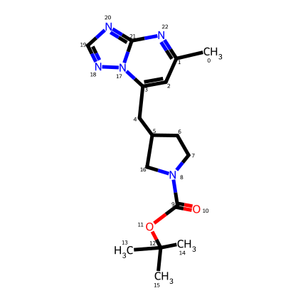 Cc1cc(CC2CCN(C(=O)OC(C)(C)C)C2)n2ncnc2n1